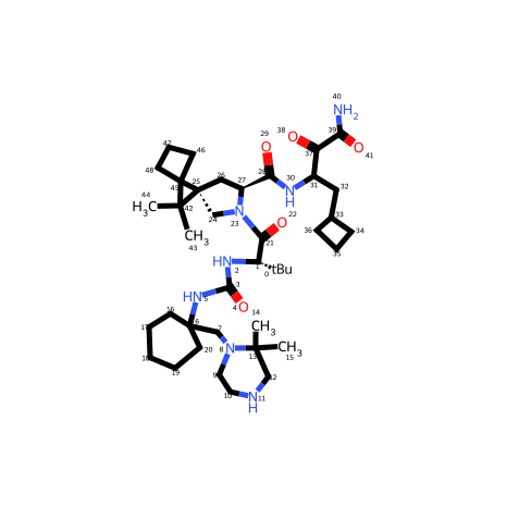 CC(C)(C)[C@H](NC(=O)NC1(CN2CCNCC2(C)C)CCCCC1)C(=O)N1C[C@]2(C[C@H]1C(=O)NC(CC1CCC1)C(=O)C(N)=O)C(C)(C)C21CCC1